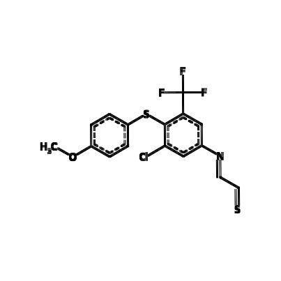 COc1ccc(Sc2c(Cl)cc(N=CC=S)cc2C(F)(F)F)cc1